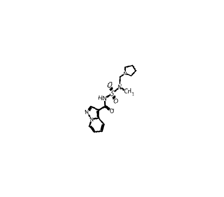 CN(CN1CCCC1)S(=O)(=O)NC(=O)c1cnn2ccccc12